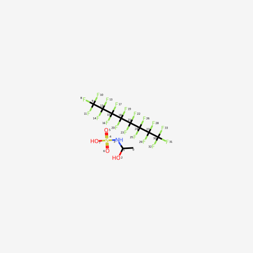 CC(O)NS(=O)(=O)O.FC(F)(F)C(F)(F)C(F)(F)C(F)(F)C(F)(F)C(F)(F)C(F)(F)C(F)(F)F